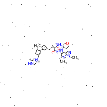 CCc1nc2c(cnn2CC)c(NC2CCOCC2)c1CNC(=O)C1(C(N)=O)CC1Cc1ccc(C)c(-c2cccc(CN3C[C@@H]4C[C@H]3CN4)c2)c1